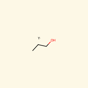 CCCO.[Y]